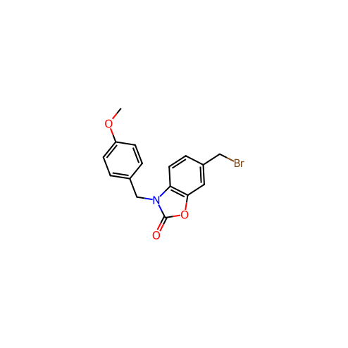 COc1ccc(Cn2c(=O)oc3cc(CBr)ccc32)cc1